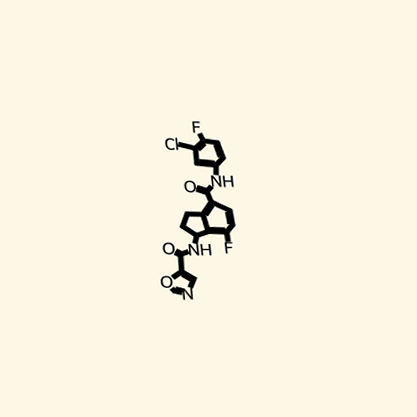 O=C(NC1CCc2c(C(=O)Nc3ccc(F)c(Cl)c3)ccc(F)c21)c1cnco1